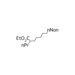 CCCCCCCCCCCCCCC(CCC)C(=O)OCC